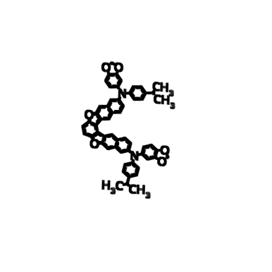 CC(C)c1ccc(N(c2ccc3c(c2)OCO3)c2ccc3cc4c(cc3c2)oc2ccc3oc5cc6cc(N(c7ccc(C(C)C)cc7)c7ccc8c(c7)OCO8)ccc6cc5c3c24)cc1